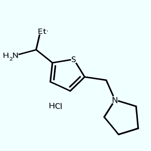 C[CH]C(N)c1ccc(CN2CCCC2)s1.Cl